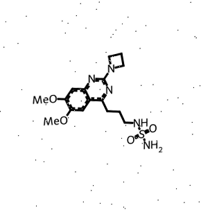 COc1cc2nc(N3CCC3)nc(CCCNS(N)(=O)=O)c2cc1OC